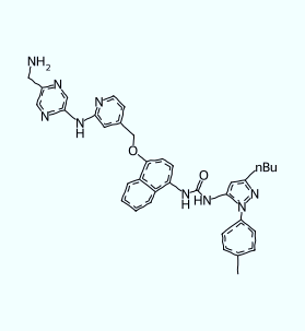 CCCCc1cc(NC(=O)Nc2ccc(OCc3ccnc(Nc4cnc(CN)cn4)c3)c3ccccc23)n(-c2ccc(C)cc2)n1